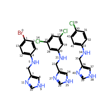 Brc1ccc(NCc2c[nH]cn2)cc1.Clc1cc(Cl)cc(NCc2c[nH]cn2)c1.Clc1ccc(NCc2c[nH]cn2)cc1